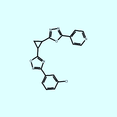 Clc1cccc(-c2noc(C3CC3c3nnc(-c4ccncc4)o3)n2)c1